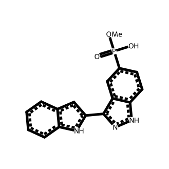 COP(=O)(O)c1ccc2[nH]nc(-c3cc4ccccc4[nH]3)c2c1